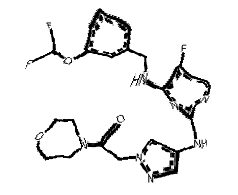 O=C(Cn1cc(Nc2ncc(F)c(NCc3cccc(OC(F)F)c3)n2)cn1)N1CCOCC1